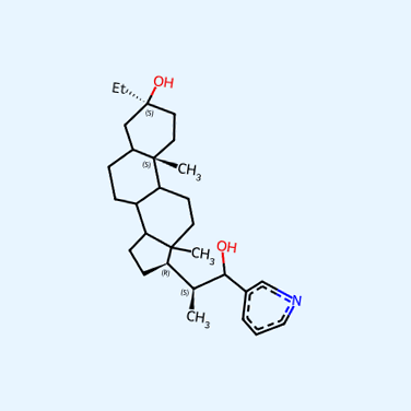 CC[C@]1(O)CC[C@@]2(C)C(CCC3C4CC[C@H]([C@H](C)C(O)c5cccnc5)C4(C)CCC32)C1